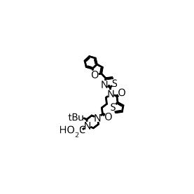 CC(C)(C)C1CN(C(=O)CCCN(C(=O)c2cccs2)c2nc(-c3cc4ccccc4o3)cs2)CCN1C(=O)O